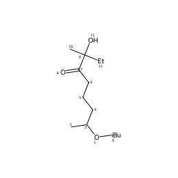 CCC(C)OC(C)CCCC(=O)C(C)(O)CC